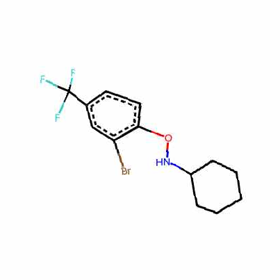 FC(F)(F)c1ccc(ONC2CCCCC2)c(Br)c1